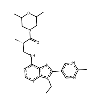 CCn1c(-c2cnc(C)nc2)nc2c(NC[C@H](C)C(=O)N3CC(C)OC(C)C3)ncnc21